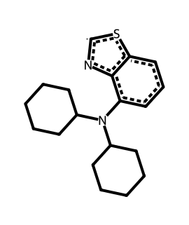 [c]1nc2c(N(C3CCCCC3)C3CCCCC3)cccc2s1